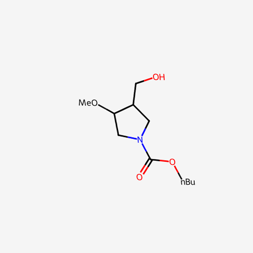 CCCCOC(=O)N1CC(CO)C(OC)C1